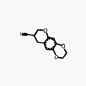 N#CC1COc2cc3c(cc2C1)OCCO3